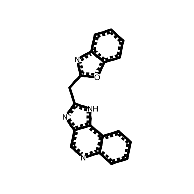 c1ccc2oc(Cc3nc4cnc5ccccc5c4[nH]3)nc2c1